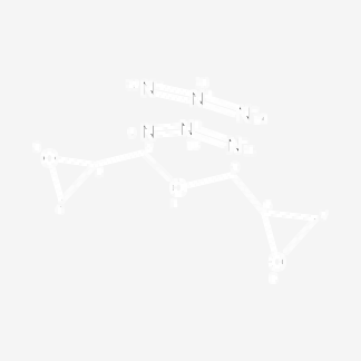 C(OCC1CO1)C1CO1.[N-]=[N+]=[N-].[N-]=[N+]=[N-]